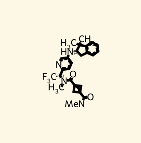 CNC(=O)C12CC(C(=O)N(C)[C@@H](c3ccc(N[C@H]4Cc5ccccc5C4(C)C)cn3)C(F)(F)F)(C1)C2